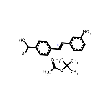 CC(=O)OC(C)(C)C.O=[N+]([O-])c1cccc(/C=C/c2ccc(C(O)Br)cc2)c1